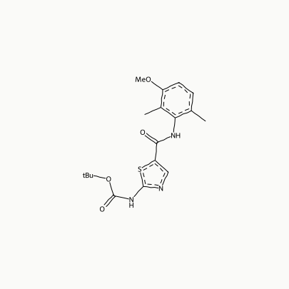 COc1ccc(C)c(NC(=O)c2cnc(NC(=O)OC(C)(C)C)s2)c1C